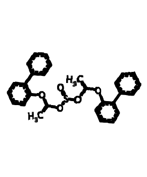 CC(Oc1ccccc1-c1ccccc1)OS(=O)OC(C)Oc1ccccc1-c1ccccc1